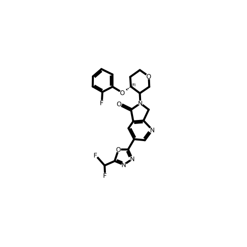 O=C1c2cc(-c3nnc(C(F)F)o3)cnc2CN1C1COCC[C@H]1Oc1ccccc1F